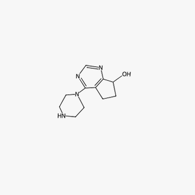 OC1CCc2c1ncnc2N1CCNCC1